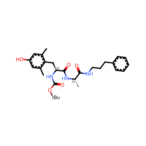 Cc1cc(O)cc(C)c1C[C@H](NC(=O)OC(C)(C)C)C(=O)N[C@@H](C)C(=O)NCCCc1ccccc1